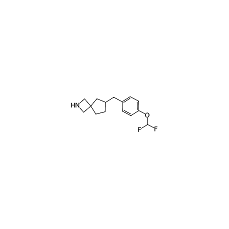 FC(F)Oc1ccc(CC2CCC3(CNC3)C2)cc1